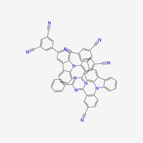 N#Cc1cc(C#N)cc(-c2ccc3c(c2)c2ccccc2n3-c2ccc(C#N)cc2-c2nc(-c3ccccc3)nc(-c3cc(C#N)ccc3-n3c4ccccc4c4cc(-c5cc(C#N)cc(C#N)c5)ccc43)n2)c1